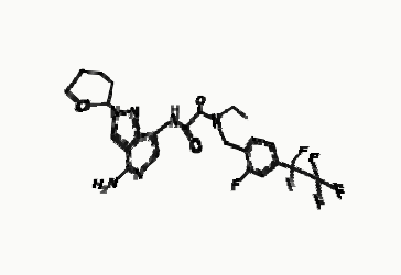 CCN(Cc1ccc(C(F)(F)C(F)(F)F)cc1F)C(=O)C(=O)Nc1cnc(N)c2cn(C3CCCCO3)nc12